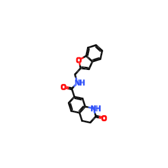 O=C1CCc2ccc(C(=O)NCc3cc4ccccc4o3)cc2N1